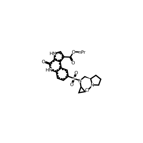 CCCOC(=O)c1c[nH]c2c(=O)[nH]c3ccc(S(=O)(=O)N(C[C@H]4CCCN4Cl)C4CC4)cc3c12